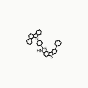 c1ccc(-c2ccc3sc4ccc5c(c4c3c2)SC(c2ccc(-n3c4ccccc4c4ccc6ccccc6c43)cc2)N5)cc1